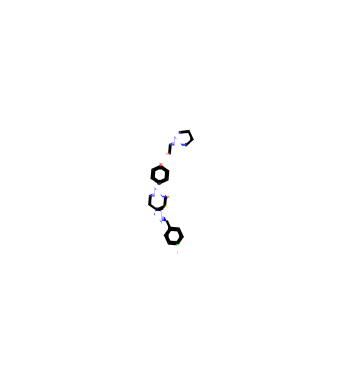 O=C1c2sc(-c3ccc(Cl)cc3)nc2CCN1c1ccc(OCCN2CCCC2)cc1